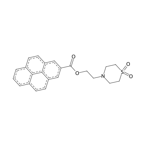 O=C(OCCN1CCS(=O)(=O)CC1)c1cc2ccc3cccc4ccc(c1)c2c34